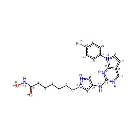 O=C(CCCCCCn1cc(Nc2ncc3ccn(-c4ccc(Br)cc4)c3n2)cn1)NO